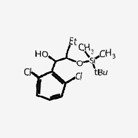 CCC(O[Si](C)(C)C(C)(C)C)C(O)c1c(Cl)cccc1Cl